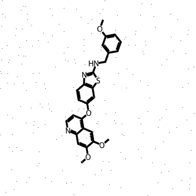 COc1cccc(CNc2nc3ccc(Oc4ccnc5cc(OC)c(OC)cc45)cc3s2)c1